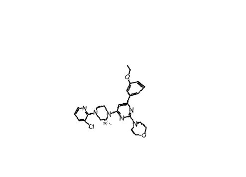 CCOc1cccc(-c2cc(N3CCN(c4ncccc4Cl)C[C@H]3C)nc(N3CCOCC3)n2)c1